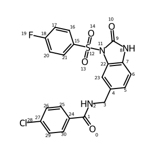 O=C(NCc1ccc2[nH]c(=O)n(S(=O)(=O)c3ccc(F)cc3)c2c1)c1ccc(Cl)cc1